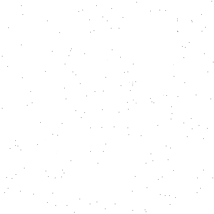 CC(C)c1nn(CC(=O)O)c(=O)c2ccc(C(F)(F)C(F)(F)F)cc12